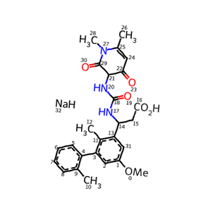 COc1cc(-c2ccccc2C)c(C)c(C(CC(=O)O)NC(=O)NC2C(=O)C=C(C)N(C)C2=O)c1.[NaH]